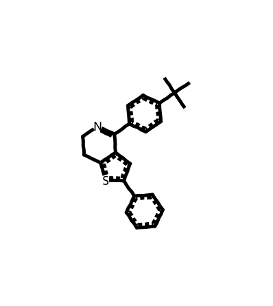 CC(C)(C)c1ccc(C2=NCCc3sc(-c4ccccc4)cc32)cc1